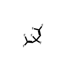 FC(F)=CC(F)(F)C=C(F)F